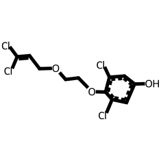 Oc1cc(Cl)c(OCCOCC=C(Cl)Cl)c(Cl)c1